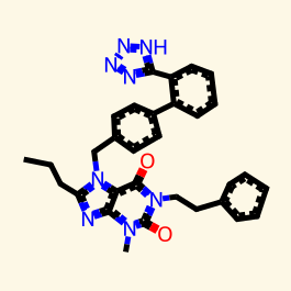 CCCc1nc2c(c(=O)n(CCc3ccccc3)c(=O)n2C)n1Cc1ccc(-c2ccccc2-c2nnn[nH]2)cc1